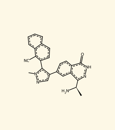 C[C@@H](N)c1n[nH]c(=O)c2ccc(-c3cnn(C)c3-c3ccc4ccccc4c3C#N)cc12